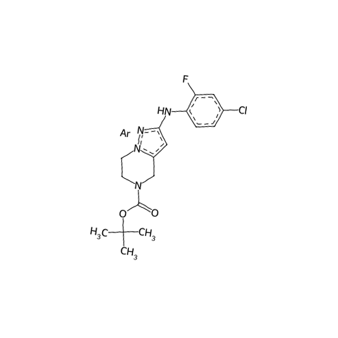 CC(C)(C)OC(=O)N1CCn2nc(Nc3ccc(Cl)cc3F)cc2C1.[Ar]